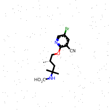 C[C@H](COc1ncc(Br)cc1C#N)CC(C)(C)NC(=O)O